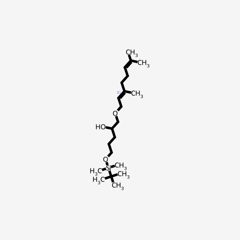 CC(C)=CCC/C(C)=C/COCC(O)CCCO[Si](C)(C)C(C)(C)C